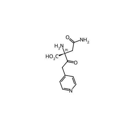 NC(=O)C[C@](N)(C(=O)O)C(=O)Cc1ccncc1